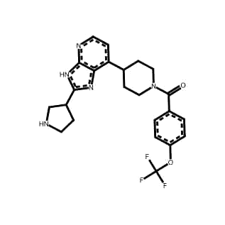 O=C(c1ccc(OC(F)(F)F)cc1)N1CCC(c2ccnc3[nH]c(C4CCNC4)nc23)CC1